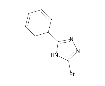 CCc1nnc(C2C=CC=CC2)[nH]1